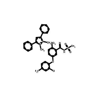 CS(=O)(=O)NC(=O)c1cc(Oc2ccc(C(F)(F)F)cc2Cl)ccc1[N+](=O)[O-].Cn1c(-c2ccccc2)cc(-c2ccccc2)[n+]1C